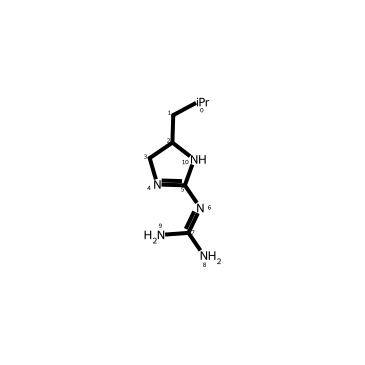 CC(C)CC1CN=C(N=C(N)N)N1